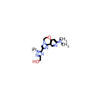 CC(C)n1nc(CO)nc1-c1cn2c(n1)-c1cnc(N(C)C)cc1OCC2